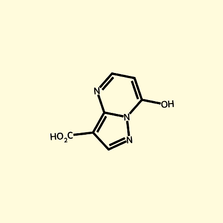 O=C(O)c1cnn2c(O)ccnc12